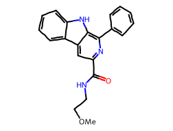 COCCNC(=O)c1cc2c([nH]c3ccccc32)c(-c2ccccc2)n1